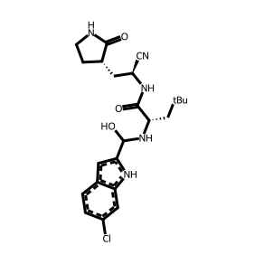 CC(C)(C)C[C@H](NC(O)c1cc2ccc(Cl)cc2[nH]1)C(=O)N[C@H](C#N)C[C@@H]1CCNC1=O